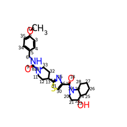 COc1ccc(CNC(=O)N2CCC(c3nc(C(=O)N4CCC(O)C5CCCCC54)cs3)CC2)cc1